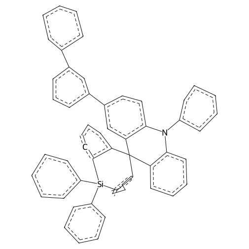 c1ccc(-c2cccc(-c3ccc4c(c3)C3(c5ccccc5N4c4ccccc4)c4ccccc4[Si](c4ccccc4)(c4ccccc4)c4ccccc43)c2)cc1